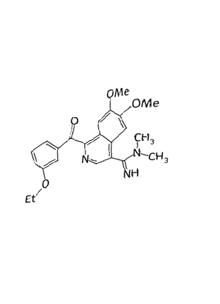 CCOc1cccc(C(=O)c2ncc(C(=N)N(C)C)c3cc(OC)c(OC)cc23)c1